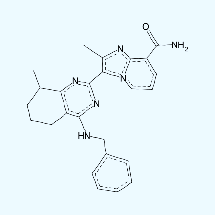 Cc1nc2c(C(N)=O)cccn2c1-c1nc(NCc2ccccc2)c2c(n1)C(C)CCC2